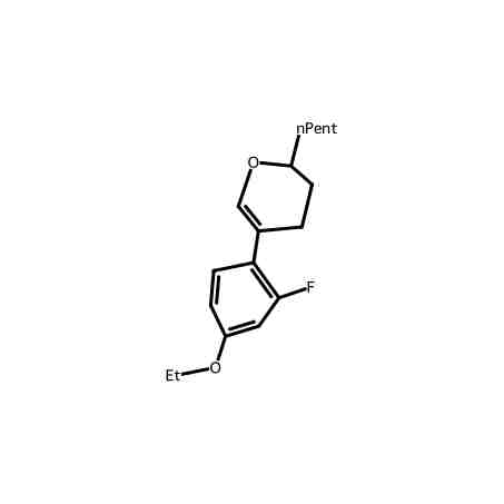 CCCCCC1CCC(c2ccc(OCC)cc2F)=CO1